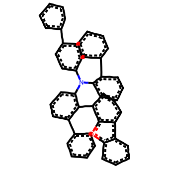 c1ccc(-c2ccc(N(c3ccccc3-c3ccccc3)c3cccc(-c4ccccc4)c3-c3cccc4c3oc3ccccc34)cc2)cc1